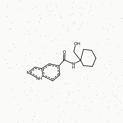 O=C(NC1(CO)CCCCC1)c1ccc2[nH]ncc2c1